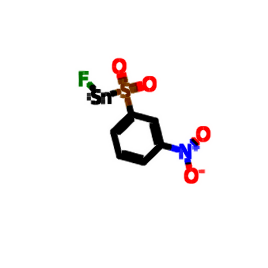 O=[N+]([O-])c1cccc([S](=O)(=O)[Sn][F])c1